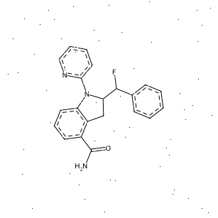 NC(=O)c1cccc2c1CC(C(F)c1ccccc1)N2c1ccccn1